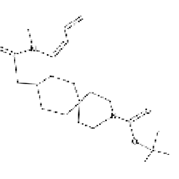 C=C/C=C\N(C)C(=C)CC1CCC2(CC1)CCN(C(=O)OC(C)(C)C)CC2